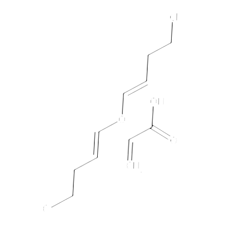 C=CC(=O)O.ClCCC=COC=CCCCl